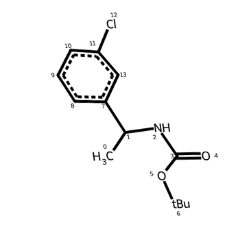 CC(NC(=O)OC(C)(C)C)c1cccc(Cl)c1